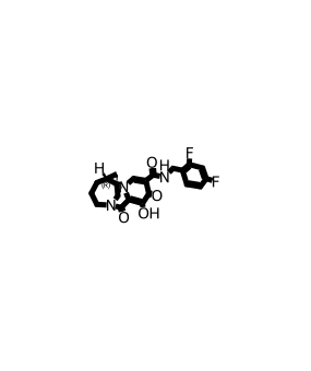 O=C(NCc1ccc(F)cc1F)c1cn2c(c(O)c1=O)C(=O)N1CCC[C@@H]3C[C@]32C1